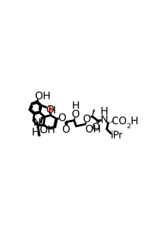 CC(C)C[C@H](NC(=O)[C@H](C)OC(O)C[C@H](O)C(=O)OC1=CC[C@@]2(O)[C@H]3Cc4ccc(O)c5c4C2(CCN3C)[C@H]1O5)C(=O)O